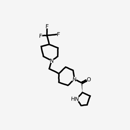 O=C([C@@H]1CCCN1)N1CCC(CN2CCC(C(F)(F)F)CC2)CC1